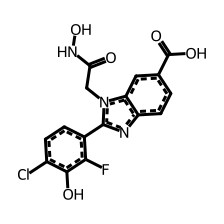 O=C(Cn1c(-c2ccc(Cl)c(O)c2F)nc2ccc(C(=O)O)cc21)NO